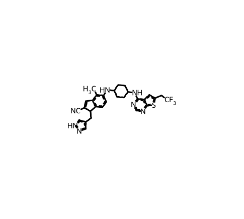 Cc1c(NC2CCC(Nc3ncnc4sc(CC(F)(F)F)cc34)CC2)ccc2c1C=C(C#N)C2Cc1cn[nH]c1